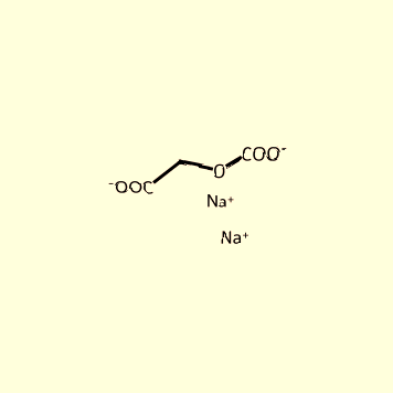 O=C([O-])COC(=O)[O-].[Na+].[Na+]